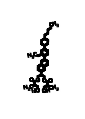 C=C(CO)C(=O)OCC(COC(=O)C(=C)CO)c1ccc2cc(-c3ccc(C4CCC(CCCCC)CC4)cc3CC)ccc2c1